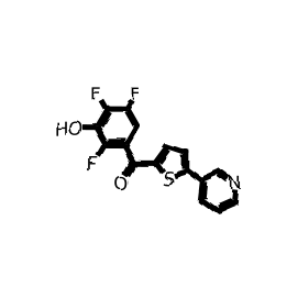 O=C(c1ccc(-c2cccnc2)s1)c1cc(F)c(F)c(O)c1F